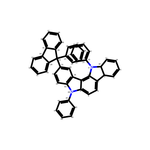 C1=CC2c3ccc4c(c3N(c3ccccc3)C2C=C1)c1cc(C2(c3ccccc3)c3ccccc3-c3ccccc32)ccc1n4-c1ccccc1